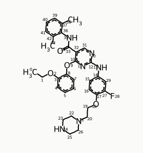 CCOc1ccccc1Oc1nc(Nc2ccc(OCCN3CCNCC3)c(F)c2)ncc1C(=O)Nc1c(C)cccc1C